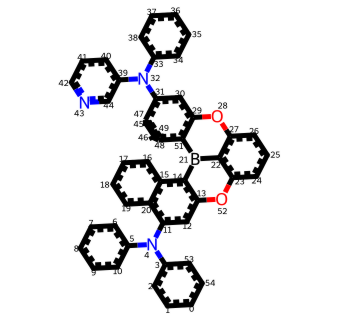 c1ccc(N(c2ccccc2)c2cc3c(c4ccccc24)B2c4c(cccc4Oc4cc(N(c5ccccc5)c5cccnc5)c5ccccc5c42)O3)cc1